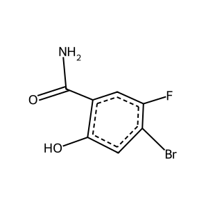 NC(=O)c1cc(F)c(Br)cc1O